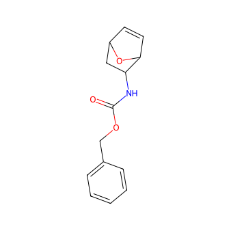 O=C(NC1CC2C=CC1O2)OCc1ccccc1